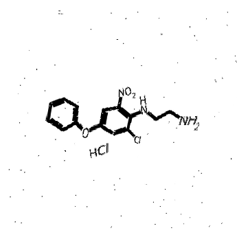 Cl.NCCNc1c(Cl)cc(Oc2ccccc2)cc1[N+](=O)[O-]